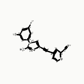 Cc1nc(C#Cc2ccnc(C#N)c2)cn1-c1cc(F)cc(F)c1